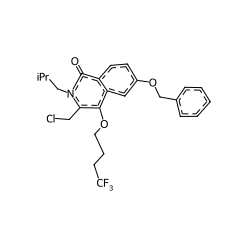 CC(C)Cn1c(CCl)c(OCCCC(F)(F)F)c2cc(OCc3ccccc3)ccc2c1=O